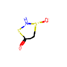 O=C1C[S+]([O-])NS1